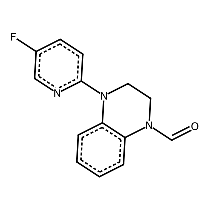 O=CN1CCN(c2ccc(F)cn2)c2ccccc21